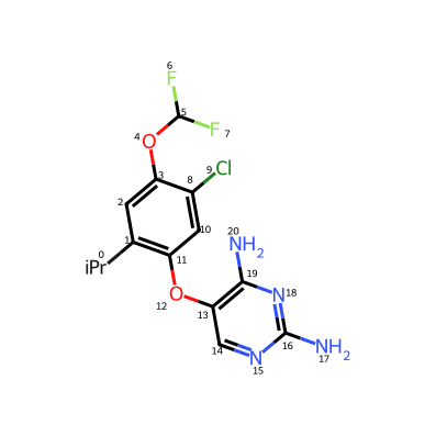 CC(C)c1cc(OC(F)F)c(Cl)cc1Oc1cnc(N)nc1N